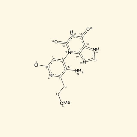 COCCc1nc(Cl)cc(-n2c(=O)[nH]c(=O)c3[nH]cnc32)c1N